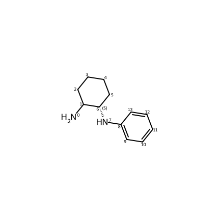 NC1CCCC[C@@H]1Nc1ccccc1